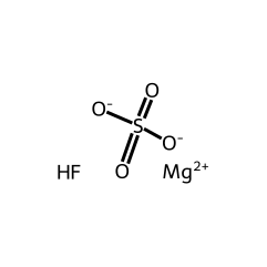 F.O=S(=O)([O-])[O-].[Mg+2]